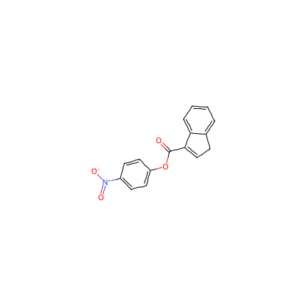 O=C(Oc1ccc([N+](=O)[O-])cc1)C1=CCc2ccccc21